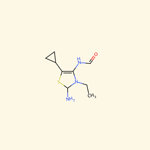 CCN1C(NC=O)=C(C2CC2)SC1N